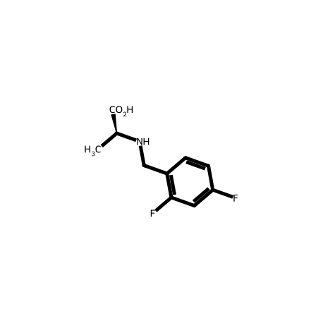 C[C@H](NCc1ccc(F)cc1F)C(=O)O